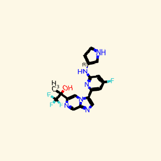 CC(O)(c1cn2c(-c3cc(F)cc(N[C@@H]4CCNC4)n3)cnc2cn1)C(F)(F)F